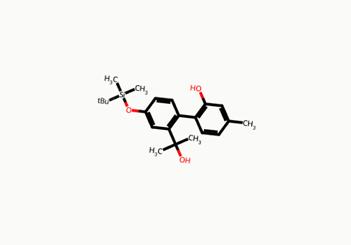 Cc1ccc(-c2ccc(O[Si](C)(C)C(C)(C)C)cc2C(C)(C)O)c(O)c1